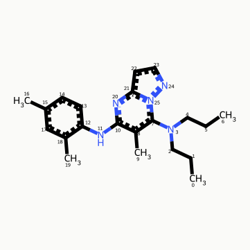 CCCN(CCC)c1c(C)c(Nc2ccc(C)cc2C)nc2ccnn12